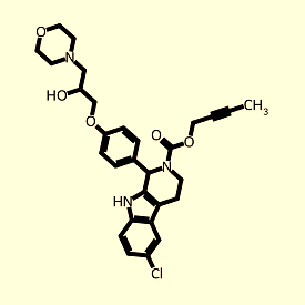 CC#CCOC(=O)N1CCc2c([nH]c3ccc(Cl)cc23)C1c1ccc(OCC(O)CN2CCOCC2)cc1